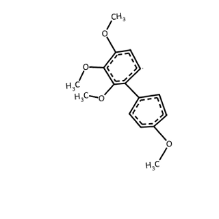 COc1ccc(-c2[c]cc(OC)c(OC)c2OC)cc1